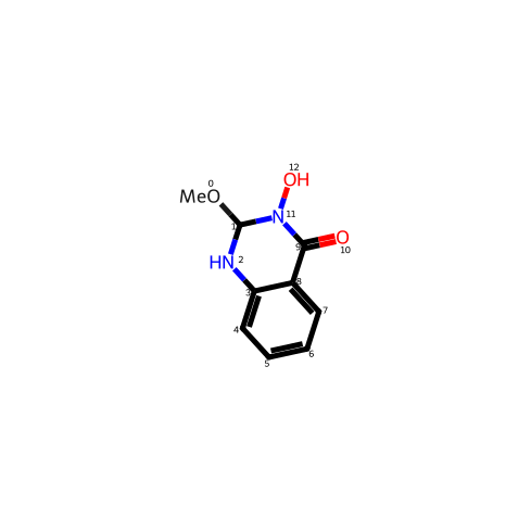 COC1Nc2ccccc2C(=O)N1O